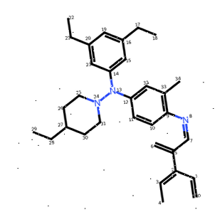 C=C/C(=C\C)C(=C)/C=N\c1ccc(N(c2cc(CC)cc(CC)c2)N2CCC(CC)CC2)cc1C